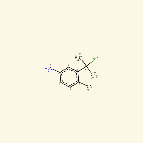 N#Cc1ccc(N)cc1C(F)(C(F)(F)F)C(F)(F)F